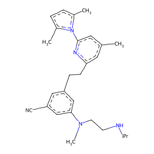 Cc1cc(CCc2cc(C#N)cc(N(C)CCNC(C)C)c2)nc(-n2c(C)ccc2C)c1